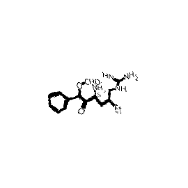 CCC(CNC(=N)N)C[C@H](N)C(=O)C(O[C]=O)c1ccccc1